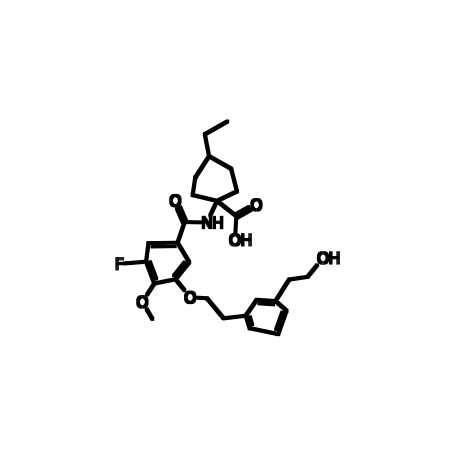 CCC1CCC(NC(=O)c2cc(F)c(OC)c(OCCc3cccc(CCO)c3)c2)(C(=O)O)CC1